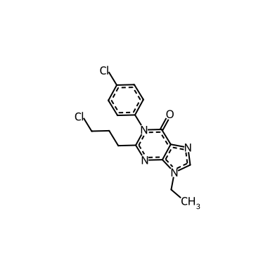 CCn1cnc2c(=O)n(-c3ccc(Cl)cc3)c(CCCCl)nc21